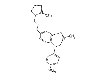 COc1ccc(C2CN(C)Cc3cc(OCCC4CCCN4C)ncc32)cc1